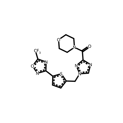 O=C(c1ncn(Cc2ccc(-c3noc(C(F)(F)F)n3)s2)n1)N1CCOCC1